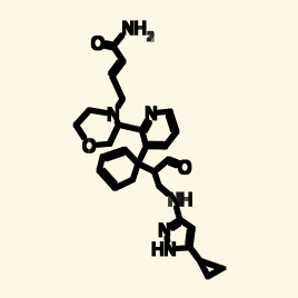 NC(=O)C=CCN1CCOCC1c1ncccc1C1(C(C=O)CNc2cc(C3CC3)[nH]n2)C=CC=CC1